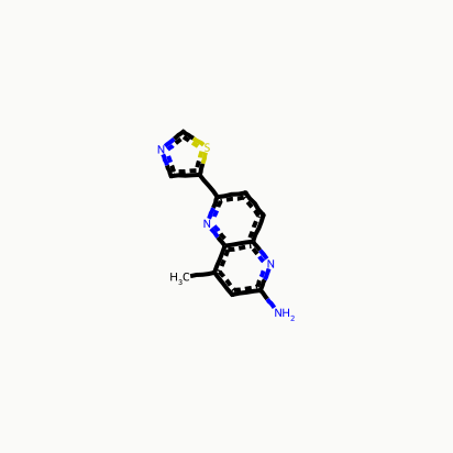 Cc1cc(N)nc2ccc(-c3cncs3)nc12